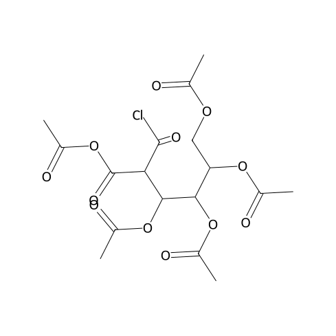 CC(=O)OCC(OC(C)=O)C(OC(C)=O)C(OC(C)=O)C(C(=O)Cl)C(=O)OC(C)=O